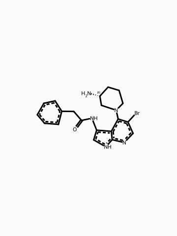 N[C@@H]1CCCN(c2c(Br)cnc3[nH]cc(NC(=O)Cc4ccccc4)c23)C1